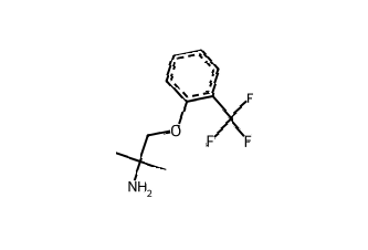 CC(C)(N)COc1ccccc1C(F)(F)F